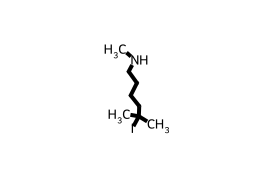 CNCCCCC(C)(C)I